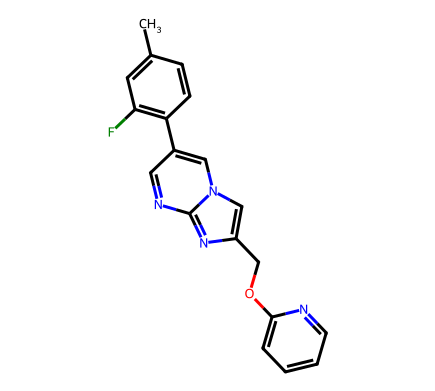 Cc1ccc(-c2cnc3nc(COc4ccccn4)cn3c2)c(F)c1